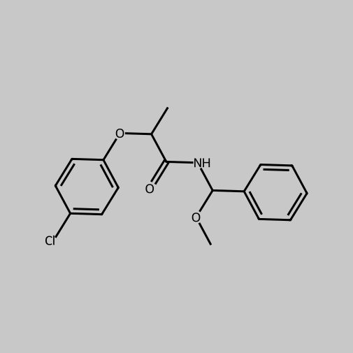 COC(NC(=O)C(C)Oc1ccc(Cl)cc1)c1ccccc1